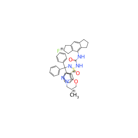 C[C@H]1COc2c([S@](=O)(=NC(c3ccccc3)(c3ccccc3)c3ccccc3)NC(=O)Nc3c4c(cc5c3C[C@H](F)C5)CCC4)cnn2C1